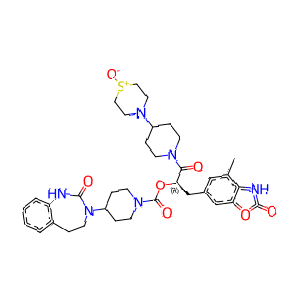 Cc1cc(C[C@@H](OC(=O)N2CCC(N3CCc4ccccc4NC3=O)CC2)C(=O)N2CCC(N3CC[S+]([O-])CC3)CC2)cc2oc(=O)[nH]c12